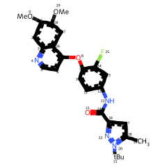 COc1cc2nccc(Oc3ccc(NC(=O)c4cc(C)n(C(C)(C)C)n4)cc3F)c2cc1OC